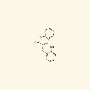 O=[C]C([CH]c1ccccc1O)=Cc1ccccc1O